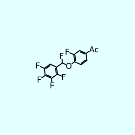 CC(=O)c1ccc(OC(F)c2cc(F)c(F)c(F)c2F)c(F)c1